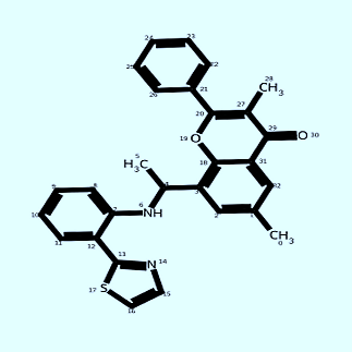 Cc1cc(C(C)Nc2ccccc2-c2nccs2)c2oc(-c3ccccc3)c(C)c(=O)c2c1